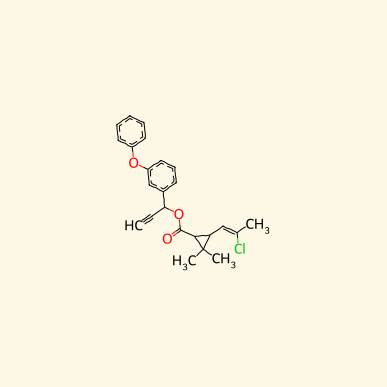 C#CC(OC(=O)C1C(C=C(C)Cl)C1(C)C)c1cccc(Oc2ccccc2)c1